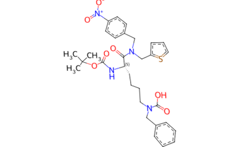 CC(C)(C)OC(=O)N[C@@H](CCCCN(Cc1ccccc1)C(=O)O)C(=O)N(Cc1ccc([N+](=O)[O-])cc1)Cc1cccs1